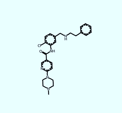 CN1CCN(c2ccc(C(=O)Nc3cc(CNCCc4ccccc4)ccc3Cl)cn2)CC1